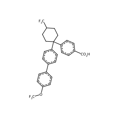 O=C(O)c1ccc(C2(c3ccc(-c4ccc(OC(F)(F)F)cc4)cc3)CCC(C(F)(F)F)CC2)cc1